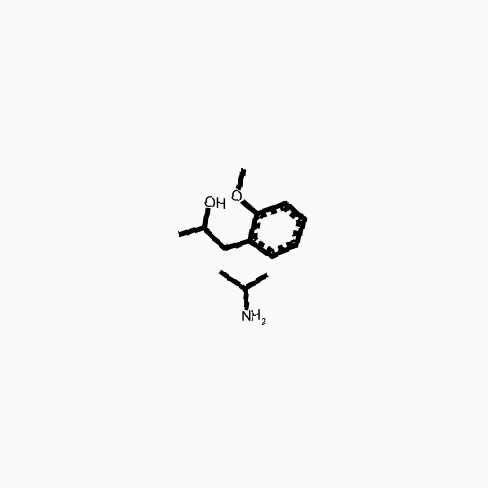 CC(C)N.COc1ccccc1CC(C)O